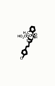 Cc1ccccc1S(=O)(=O)Nc1cc(C=Cc2ccc(Cl)cc2)sc1OC(=O)O